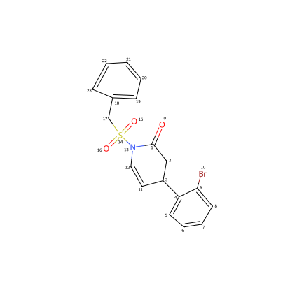 O=C1CC(c2ccccc2Br)C=CN1S(=O)(=O)Cc1ccccc1